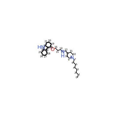 CCCCCCCCN1CCC(CNCCCOc2cccc3[nH]c4ccccc4c23)CC1